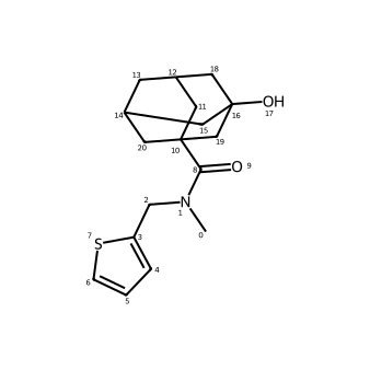 CN(Cc1cccs1)C(=O)C12CC3CC(CC(O)(C3)C1)C2